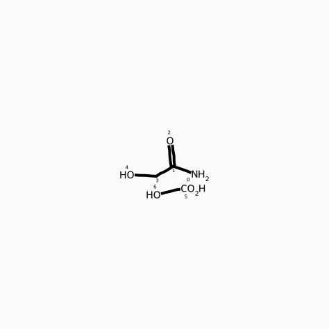 NC(=O)CO.O=C(O)O